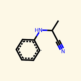 CC(C#N)Nc1[c]cccc1